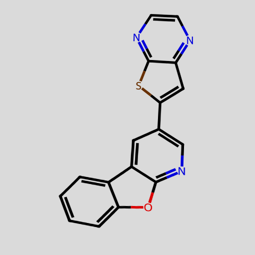 c1ccc2c(c1)oc1ncc(-c3cc4nccnc4s3)cc12